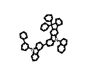 c1ccc(-c2cccc(-n3c4ccccc4c4cc(-c5ccc6c(c5)c5cc7c(cc5n6-c5cccc6ccccc56)-c5ccccc5C7(c5ccccc5)c5ccccc5)ccc43)c2)cc1